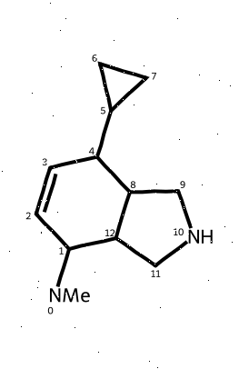 CNC1C=CC(C2CC2)C2CNCC12